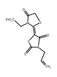 C=CCN1C(=O)/C(=C2\SCC(=O)N2CC(=O)OCC)SC1=S